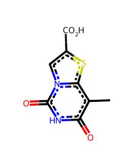 Cc1c(=O)[nH]c(=O)n2cc(C(=O)O)sc12